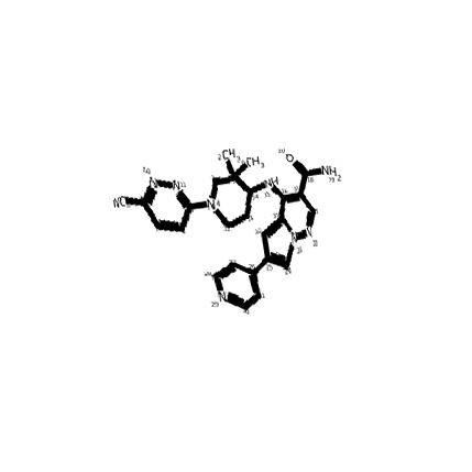 CC1(C)CN(c2ccc(C#N)nn2)CCC1Nc1c(C(N)=O)cnn2cc(-c3ccncc3)cc12